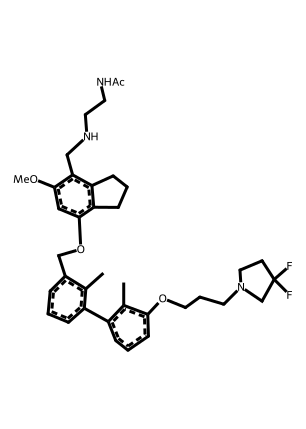 COc1cc(OCc2cccc(-c3cccc(OCCCN4CCC(F)(F)C4)c3C)c2C)c2c(c1CNCCNC(C)=O)CCC2